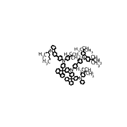 CCCCC(CC)Cn1c2ccccc2c2cc(-c3ccc(N(c4ccc(C(C)(C)C)cc4)c4ccc(C5(c6ccc7c(c6)c6cc(C8(c9ccc(N(c%10ccccc%10)c%10ccc(C(C)(C)C)cc%10)cc9)c9ccccc9-c9ccccc98)ccc6n7-c6ccc(-c7ccc(-n8c9ccc(C(C)(C)C)cc9c9cc(C(C)(C)C)ccc98)cc7)cc6)c6ccccc6-c6ccccc65)cc4)cc3)ccc21